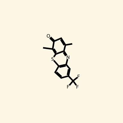 Cc1cc(=O)c(C)c2sc3ccc(C(F)(F)F)cc3nc1-2